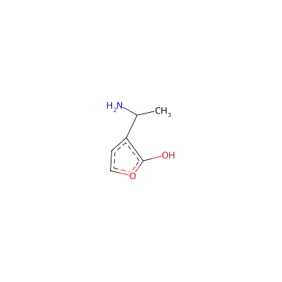 CC(N)c1ccoc1O